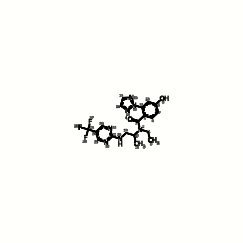 CCN(C(=O)c1ccc(O)cc1-n1nccn1)C(C)CNc1ncc(C(F)(F)F)cn1